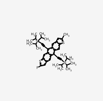 Cc1cc2cc3c(C#C[Si](C(C)C)(C(C)C)C(C)C)c4cc5sc(F)cc5cc4c(C#C[Si](C(C)C)(C(C)C)C(C)C)c3cc2s1